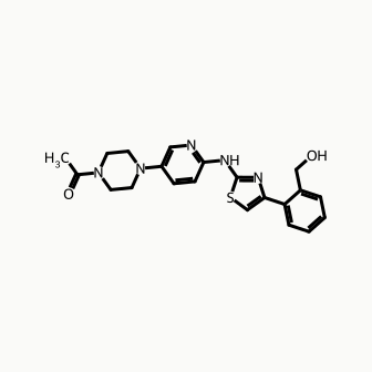 CC(=O)N1CCN(c2ccc(Nc3nc(-c4ccccc4CO)cs3)nc2)CC1